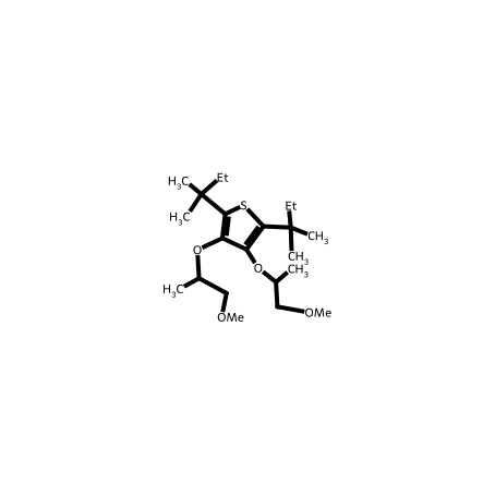 CCC(C)(C)c1sc(C(C)(C)CC)c(OC(C)COC)c1OC(C)COC